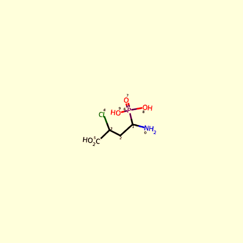 NC(CC(Cl)C(=O)O)P(=O)(O)O